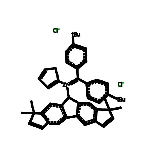 CC(C)(C)c1ccc([C](c2ccc(C(C)(C)C)cc2)=[Zr+2]([C]2=CC=CC2)[CH]2c3cc4c(cc3-c3cc5c(cc32)C(C)(C)C=C5)C=CC4(C)C)cc1.[Cl-].[Cl-]